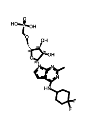 Cc1nc(NC2CCC(F)(F)CC2)c2ccn([C@@H]3O[C@H](COCP(=O)(O)O)[C@@H](O)[C@H]3O)c2n1